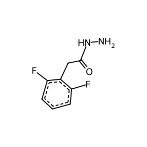 NNC(=O)Cc1c(F)cccc1F